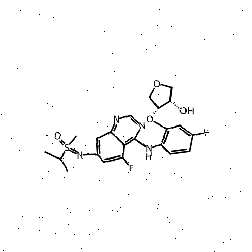 CC(C)S(C)(=O)=Nc1cc(F)c2c(Nc3ccc(F)cc3O[C@@H]3COC[C@@H]3O)ncnc2c1